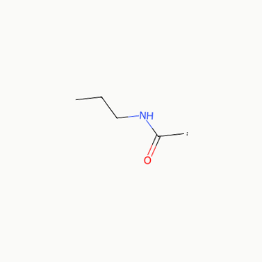 [CH]C(=O)NCCC